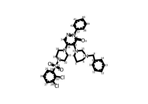 O=c1c(N2CCCN(Cc3ccccc3)C2)c(N2CCN(S(=O)(=O)c3cccc(Cl)c3Cl)CC2)cnn1-c1ccccc1